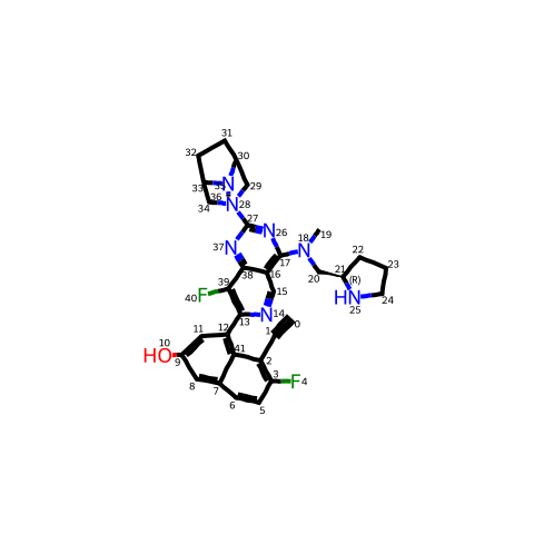 C#Cc1c(F)ccc2cc(O)cc(-c3ncc4c(N(C)C[C@H]5CCCN5)nc(N5CC6CCC(C5)N6C)nc4c3F)c12